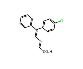 O=C(O)C=CC=C(c1ccccc1)c1ccc(Cl)cc1